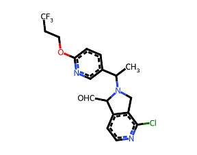 CC(c1ccc(OCCC(F)(F)F)nc1)N1Cc2c(ccnc2Cl)C1C=O